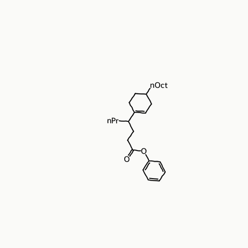 CCCCCCCCC1CC=C(C(CCC)CCC(=O)Oc2ccccc2)CC1